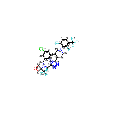 Fc1ccc(C(F)(F)F)c(F)c1N1CCC(c2nnc3n2-c2ccc(Cl)cc2CN(C2(C(F)(F)F)COC2)C3)CC1